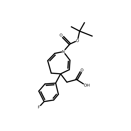 CC(C)(C)OC(=O)N1C=CCC(CC(=O)O)(c2ccc(F)cc2)C=C1